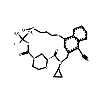 COCCCOc1cc(CN(C(=O)[C@H]2CN(C(=O)OC(C)(C)C)CCO2)C2CC2)c(C#N)c2ccccc12